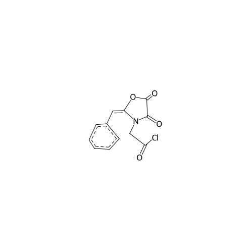 O=C(Cl)CN1C(=O)C(=O)O/C1=C/c1ccccc1